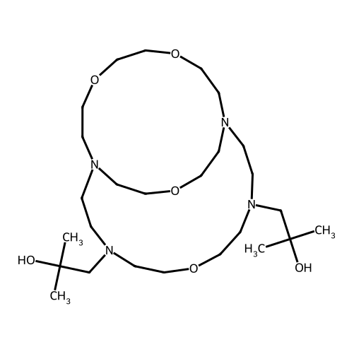 CC(C)(O)CN1CCOCCN(CC(C)(C)O)CCN2CCOCCOCCN(CCOCC2)CC1